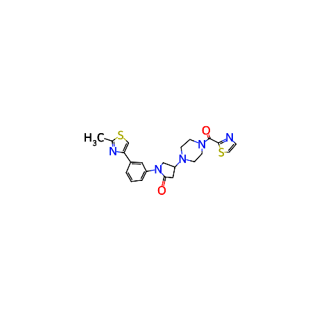 Cc1nc(-c2cccc(N3CC(N4CCN(C(=O)c5nccs5)CC4)CC3=O)c2)cs1